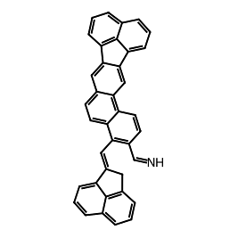 N=Cc1ccc2c(ccc3cc4c(cc32)-c2cccc3cccc-4c23)c1/C=C1\Cc2cccc3cccc1c23